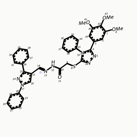 COc1cc(-c2nnc(SCC(=O)N/N=C/c3cn(-c4ccccc4)nc3-c3ccccc3)n2-c2ccccc2)cc(OC)c1OC